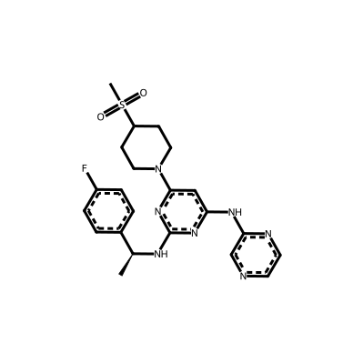 C[C@H](Nc1nc(Nc2cnccn2)cc(N2CCC(S(C)(=O)=O)CC2)n1)c1ccc(F)cc1